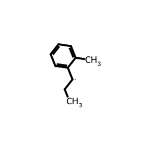 CC[CH]c1ccccc1C